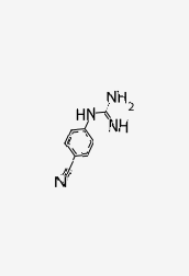 N#Cc1ccc(NC(=N)N)cc1